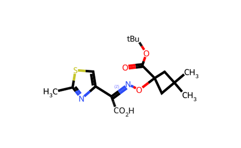 Cc1nc(/C(=N/OC2(C(=O)OC(C)(C)C)CC(C)(C)C2)C(=O)O)cs1